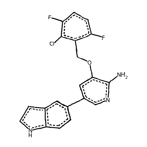 Nc1ncc(-c2ccc3[nH]ccc3c2)cc1OCc1c(F)ccc(F)c1Cl